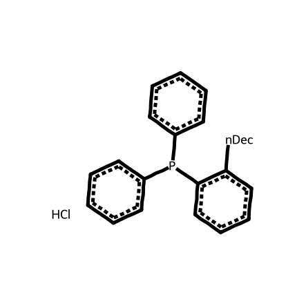 CCCCCCCCCCc1ccccc1P(c1ccccc1)c1ccccc1.Cl